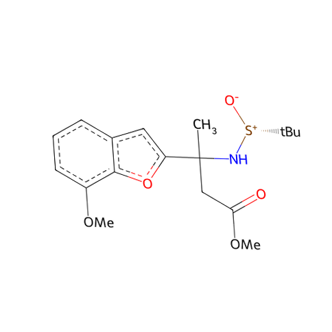 COC(=O)CC(C)(N[S@+]([O-])C(C)(C)C)c1cc2cccc(OC)c2o1